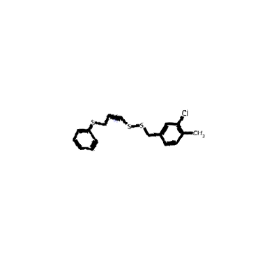 Cc1ccc(CSS/C=C\CSc2ccccc2)cc1Cl